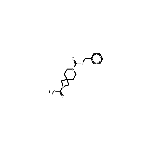 CC(=O)N1CC2(CCN(C(=O)OCc3ccccc3)CC2)C1